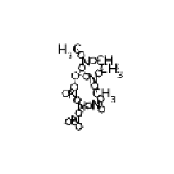 Cc1ccc(N(c2ccc(C)cc2)c2ccc(C3(c4ccc(N(c5ccc(C)cc5)c5ccc(C)cc5)cc4)CCCC(c4ccc5c(c4)c4ccccc4n5-c4ccc(N(c5ccc(-n6c7ccccc7c7ccccc76)cc5)c5ccc(-n6c7ccccc7c7ccccc76)cc5)cc4)C3)cc2)cc1